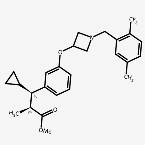 COC(=O)[C@@H](C)[C@H](c1cccc(OC2CN(Cc3cc(C)ccc3C(F)(F)F)C2)c1)C1CC1